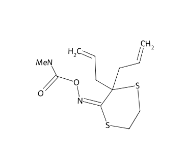 C=CCC1(CC=C)SCCSC1=NOC(=O)NC